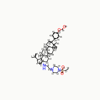 C=C(C)[C@@H]1CC[C@]2(NCCN3CCN(S(=O)(=O)CC)CC3)CC[C@]3(C)[C@H](CC[C@@H]4[C@@]5(C)CC=C(c6ccc(OC=O)cc6)C(C)(C)[C@@H]5CC[C@]43C)[C@@H]12